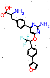 Nc1nc(OC(c2ccc(-c3ccoc3)cc2)C(F)(F)F)cc(-c2ccc(CC(N)C(=O)O)cc2)n1